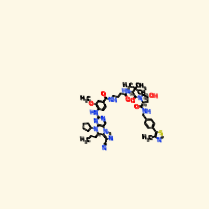 CCC[C@@H]1c2c(C#N)ncn2-c2cnc(Nc3ccc(C(=O)NCCCC(=O)N[C@H](C(=O)N4C[C@H](O)C[C@H]4C(=O)NCc4ccc(-c5scnc5C)cc4)C(C)(C)C)cc3OC)nc2N1C1CCCC1